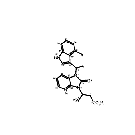 CCCC(CC(=O)O)n1c(=O)n(C(C)c2c[nH]c3cccc(C)c23)c2cccnc21